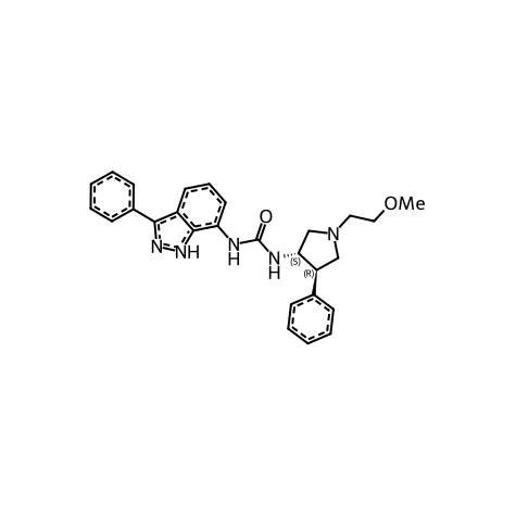 COCCN1C[C@@H](NC(=O)Nc2cccc3c(-c4ccccc4)n[nH]c23)[C@H](c2ccccc2)C1